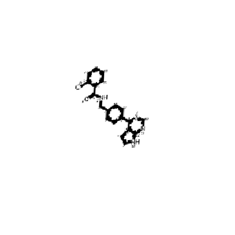 O=C(NCc1ccc(-c2ncnc3[nH]ccc23)cc1)c1ccccc1Cl